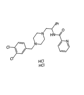 CC(C)C(CN1CCN(Cc2ccc(Cl)c(Cl)c2)CC1)NC(=O)c1ccccn1.Cl.Cl